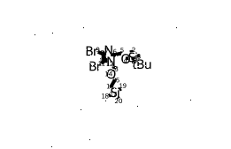 CC(C)(C)[Si](C)(C)OCc1nc(Br)c(Br)n1COCC[Si](C)(C)C